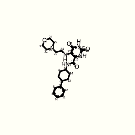 O=C(NC1CCC(c2ccccc2)CC1)c1[nH]c(=O)[nH]c(=O)c1NCCN1CCOCC1